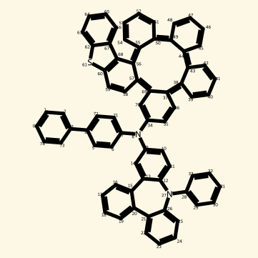 c1ccc(-c2ccc(N(c3ccc4c(c3)-c3ccccc3-c3ccccc3N4c3ccccc3)c3ccc4c5ccccc5c5ccccc5c5ccccc5c5c(ccc6sc7ccccc7c65)c4c3)cc2)cc1